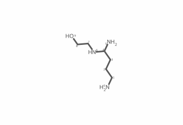 NCCCC(N)NCCO